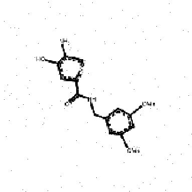 COc1cc(CNC(=O)c2ccc(N)c(O)c2)cc(OC)c1